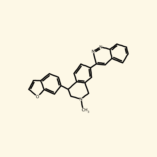 CN1Cc2cc(-c3cc4ccccc4nn3)ccc2C(c2ccc3ccoc3c2)C1